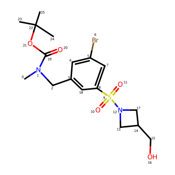 CN(Cc1cc(Br)cc(S(=O)(=O)N2CC(CO)C2)c1)C(=O)OC(C)(C)C